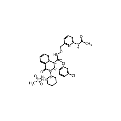 CC(=O)Nc1cccc(CONC(=O)[C@@H]2c3ccccc3C(=O)N([C@H]3CCCC[C@@H]3NS(C)(=O)=O)[C@H]2c2ccc(Cl)cc2Cl)n1